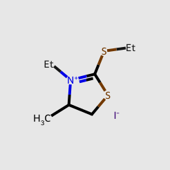 CCSC1=[N+](CC)C(C)CS1.[I-]